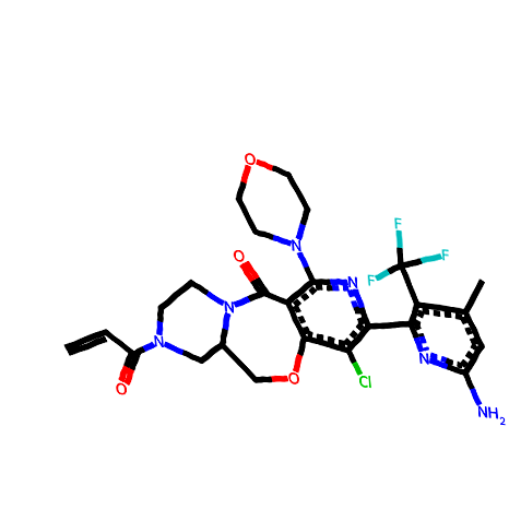 C=CC(=O)N1CCN2C(=O)c3c(N4CCOCC4)nc(-c4nc(N)cc(C)c4C(F)(F)F)c(Cl)c3OCC2C1